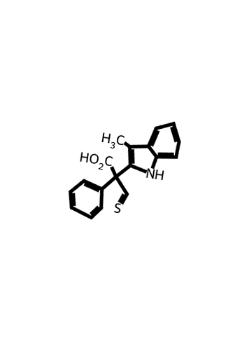 Cc1c(C(C=S)(C(=O)O)c2ccccc2)[nH]c2ccccc12